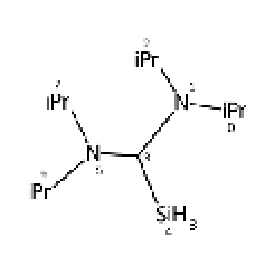 CC(C)N(C(C)C)C([SiH3])N(C(C)C)C(C)C